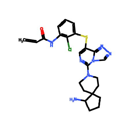 C=CC(=O)Nc1cccc(Sc2cnc(N3CCC4(CCCC4N)CC3)n3cnnc23)c1Cl